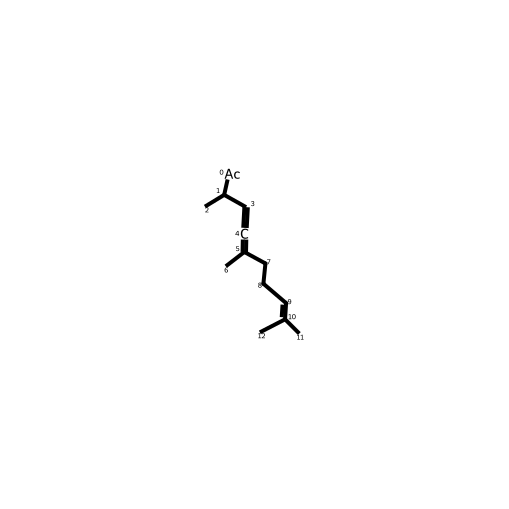 CC(=O)C(C)C=C=C(C)CCC=C(C)C